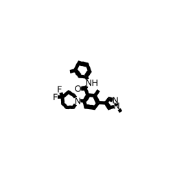 Cc1cccc(NC(=O)c2c(N3CCCC(F)(F)CC3)ccc(-c3cnn(C)c3)c2C)c1